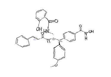 COc1ccc([C@H](c2ccc(C(=O)NO)cc2)[C@@H](CNC(=O)c2ccccc2O)NC(=O)/C=C/c2ccccc2)cc1